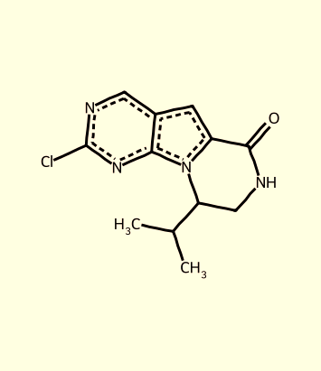 CC(C)C1CNC(=O)c2cc3cnc(Cl)nc3n21